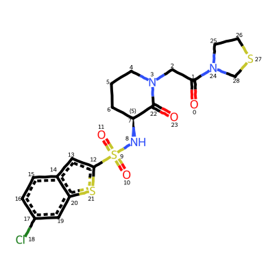 O=C(CN1CCC[C@H](NS(=O)(=O)c2cc3ccc(Cl)cc3s2)C1=O)N1CCSC1